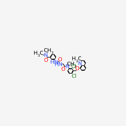 CCN(CC)C(=O)c1cccc(NC(=O)NCC(=O)N(C)c2ccc(Cl)c(COc3cccc4ccc(C)nc34)c2Cl)c1